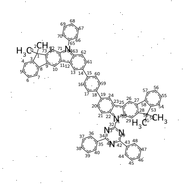 CC1(C)c2ccccc2-c2cc3c4cc(-c5ccc(-c6ccc7c(c6)c6cc8c(cc6n7-c6nc(-c7ccccc7)nc(-c7ccccc7)n6)C(C)(C)c6ccccc6-8)cc5)ccc4n(-c4ccccc4)c3cc21